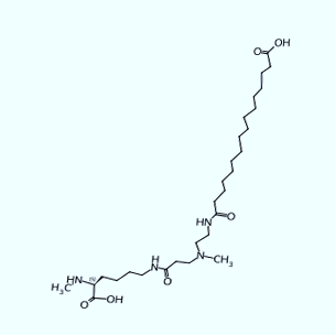 CN[C@@H](CCCCNC(=O)CCN(C)CCNC(=O)CCCCCCCCCCCCCCC(=O)O)C(=O)O